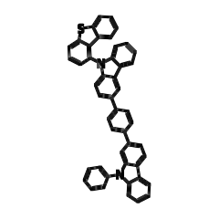 c1ccc(-n2c3ccccc3c3ccc(-c4ccc(-c5ccc6c(c5)c5ccccc5n6-c5cccc6sc7ccccc7c56)cc4)cc32)cc1